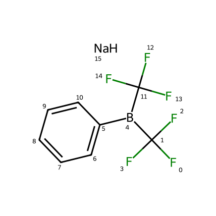 FC(F)(F)B(c1ccccc1)C(F)(F)F.[NaH]